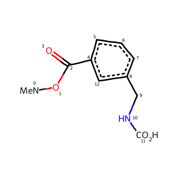 CNOC(=O)c1cccc(CNC(=O)O)c1